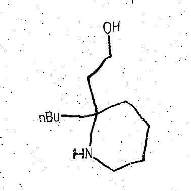 CCCCC1(CCO)CCCCN1